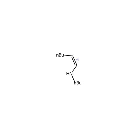 CCCC/C=C\NCCCC